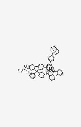 CC(C)(C)c1ccc2c(c1)C1(c3ccccc3-c3ccc(N4c5ccc(-c6ccc(C78CC9CC(CC(C9)C7)C8)cc6)cc5C5(C)c6ccccc6-c6cccc4c65)cc31)c1cc(C(C)(C)C)ccc1-2